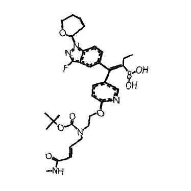 CC/C(B(O)O)=C(/c1ccc(OCCN(C/C=C/C(=O)NC)C(=O)OC(C)(C)C)nc1)c1ccc2c(c1)c(F)nn2C1CCCCO1